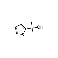 CC(C)(O)c1cc[c]s1